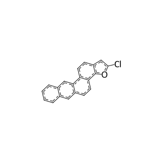 Clc1cc2ccc3c4cc5ccccc5cc4ccc3c2o1